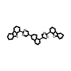 c1cc(-c2cnc(-c3cccc4c3oc3ccccc34)nc2)c2ccc(-c3cnc(-c4cccc5c4sc4ccccc45)nc3)cc2c1